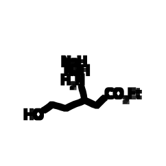 CCOC(=O)CC(N)CCO.[NaH].[NaH]